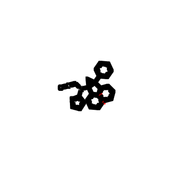 O=C=CN(c1cccs1)C1(c2ccccc2)CC1(c1ccccc1)c1ccccc1